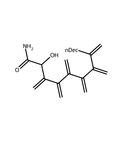 C=C(CCCCCCCCCC)C(=C)C(=C)C(=C)C(=C)C(=C)C(O)C(N)=O